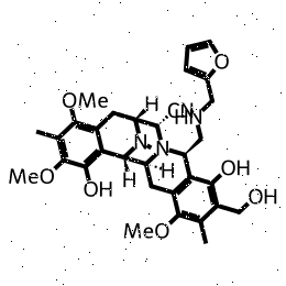 COc1c(C)c(OC)c2c(c1O)[C@H]1[C@@H]3Cc4c(OC)c(C)c(CO)c(O)c4[C@H](CNCc4ccco4)N3[C@@H](C#N)[C@@H](C2)N1C